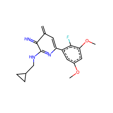 C=C1C=C(c2cc(OC)cc(OC)c2F)N=C(NCC2CC2)C1=N